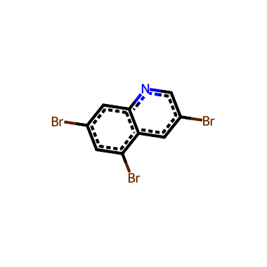 Brc1cc(Br)c2cc(Br)cnc2c1